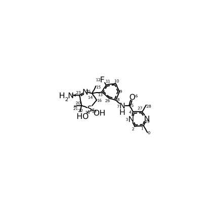 Cc1cnc(C(=O)Nc2ccc(F)c(C3(C)CS(O)(O)C(C)(C)C(N)=N3)c2)c(C)n1